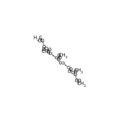 C=CC(=O)OCCCCOc1ccc(C(=O)Oc2ccc(C#Cc3ccc(OCc4ccc5cc(C#Cc6ccc(OC(=O)c7ccc(OCCCCOC(=O)C=C)c(OC)c7)cc6)ccc5c4)c(C(=O)OC)c3)cc2)cc1OC